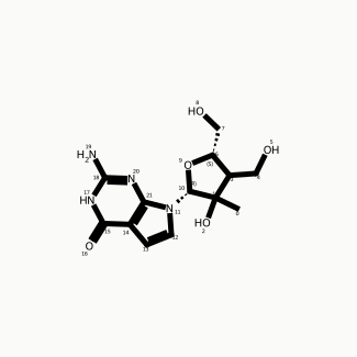 CC1(O)C(CO)[C@@H](CO)O[C@H]1n1ccc2c(=O)[nH]c(N)nc21